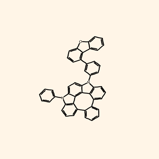 c1ccc(-n2c3cccc4c5ccccc5c5cccc6c5c5c(c43)c2ccc5n6-c2cccc(-c3cccc4oc5ccccc5c34)c2)cc1